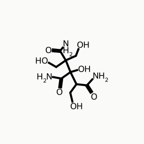 NC(=O)C(CO)C(O)(C(N)=O)C(CO)(CO)C(N)=O